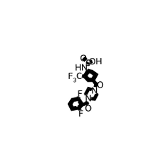 O=C(c1ccc(NS(=O)O)c(C(F)(F)F)c1)N1CCN(C(=O)c2c(F)cccc2F)CC1